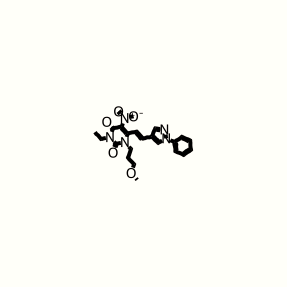 CCn1c(=O)c([N+](=O)[O-])c(C=Cc2cnn(-c3ccccc3)c2)n(CCCOC)c1=O